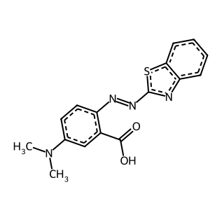 CN(C)c1ccc(N=Nc2nc3ccccc3s2)c(C(=O)O)c1